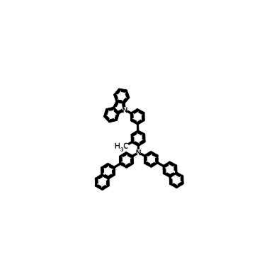 Cc1cc(-c2cccc(-n3c4ccccc4c4ccccc43)c2)ccc1N(c1ccc(-c2ccc3ccccc3c2)cc1)c1ccc(-c2ccc3ccccc3c2)cc1